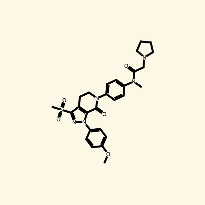 COc1ccc(-n2nc(S(C)(=O)=O)c3c2C(=O)N(c2ccc(N(C)C(=O)CN4CCCC4)cc2)CC3)cc1